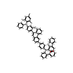 Cc1cc(C)c(N(c2ccccc2)c2ccc3c(c2)Oc2cccc4c2c-3cc2ccc(-c3ccc(N(c5ccccc5-c5ccccc5)c5cccc6c5oc5ccccc56)cc3)cc24)c(C)c1